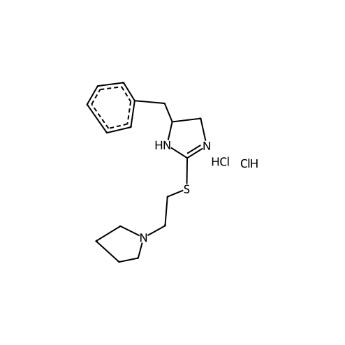 Cl.Cl.c1ccc(CC2CN=C(SCCN3CCCC3)N2)cc1